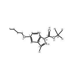 CCCCOc1cnc2c(c1)c(C)nn2C(=O)OC(C)(C)C